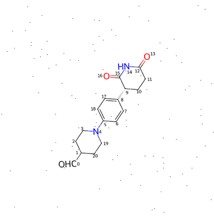 O=CC1CCN(c2ccc([C@H]3CCC(=O)NC3=O)cc2)CC1